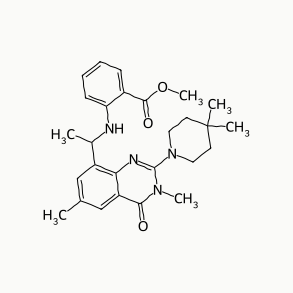 COC(=O)c1ccccc1NC(C)c1cc(C)cc2c(=O)n(C)c(N3CCC(C)(C)CC3)nc12